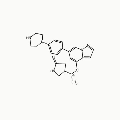 C[C@@H](Oc1cc(-c2ccc(N3CCNCC3)cc2)cn2nccc12)C1CNC(=O)C1